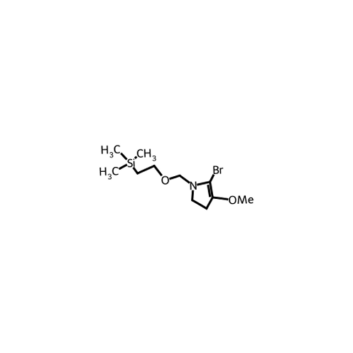 COC1=C(Br)N(COCC[Si](C)(C)C)CC1